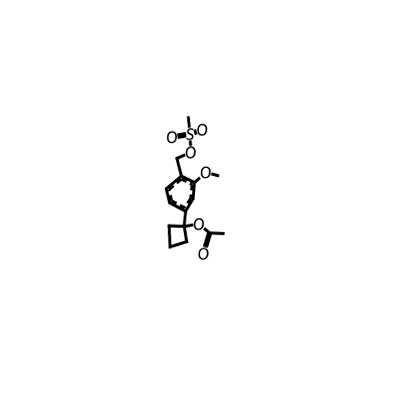 COc1cc(C2(OC(C)=O)CCC2)ccc1COS(C)(=O)=O